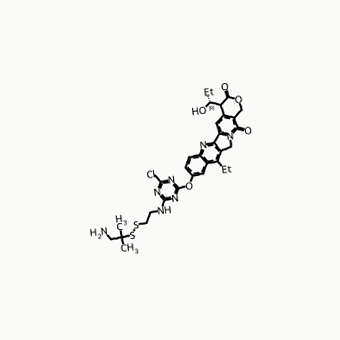 CCc1c2c(nc3ccc(Oc4nc(Cl)nc(NCCSSC(C)(C)CN)n4)cc13)-c1cc3c(c(=O)n1C2)COC(=O)C3[C@H](O)CC